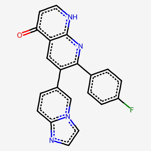 O=c1cc[nH]c2nc(-c3ccc(F)cc3)c(-c3ccc4nccn4c3)cc12